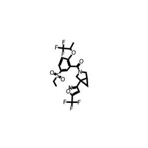 CCS(=O)(=O)c1ccc(OC(C)C(F)(F)F)c(C(=O)N2CC3CC3(c3cc(C(F)(F)F)on3)C2)c1